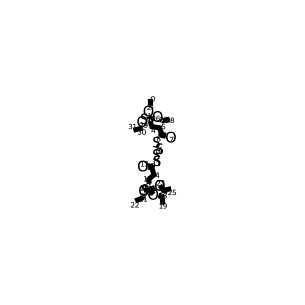 CCO[Si](CCC(=O)SSSSC(=O)CC[Si](OCC)(OCC)OCC)(OCC)OCC